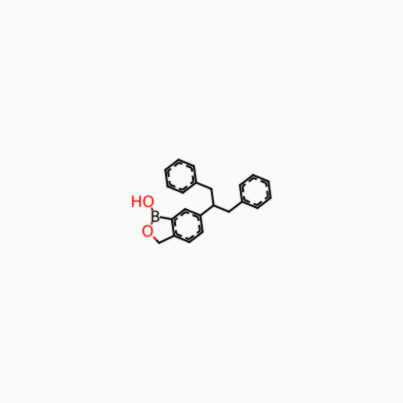 OB1OCc2ccc(C(Cc3ccccc3)Cc3ccccc3)cc21